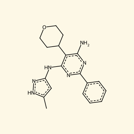 Cc1cc(Nc2nc(-c3ccccc3)nc(N)c2C2CCOCC2)n[nH]1